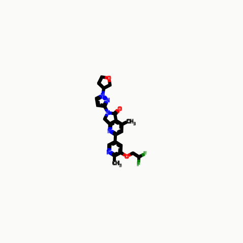 Cc1cc(-c2cnc(C)c(OCC(F)F)c2)nc2c1C(=O)N(c1ccn(C3CCOC3)n1)C2